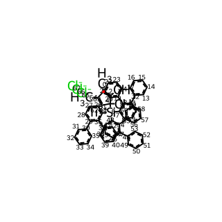 CC1=C(C)C(C)([Si](c2cccc(-c3ccccc3)c2-c2ccccc2)(c2cccc(-c3ccccc3)c2-c2ccccc2)c2cccc(-c3ccccc3)c2-c2ccccc2)[C]([Ti+3])=C1C.[Cl-].[Cl-].[Cl-]